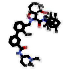 COC[C@@H]1ON(Cc2cccc(-c3cccc(C(=O)N[C@H](CC(C)C)CN(C)C)c3)c2OC)[C@H](C(=O)N[C@H]2C[C@H]3C[C@@H]([C@@H]2C)C3(C)C)[C@H]1[C@H](C)O